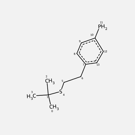 CC(C)(C)SCCc1ccc(P)cc1